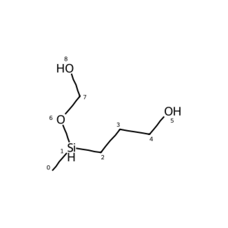 C[SiH](CCCO)OCO